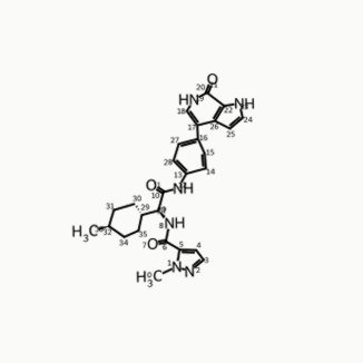 Cn1nccc1C(=O)N[C@H](C(=O)Nc1ccc(-c2c[nH]c(=O)c3[nH]ccc23)cc1)[C@H]1CC[C@H](C)CC1